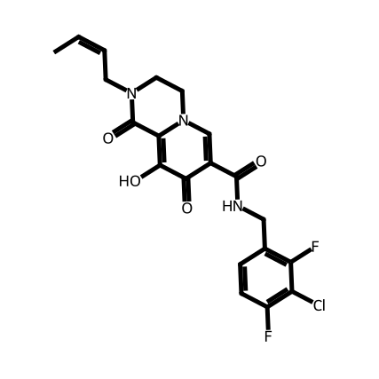 C/C=C\CN1CCn2cc(C(=O)NCc3ccc(F)c(Cl)c3F)c(=O)c(O)c2C1=O